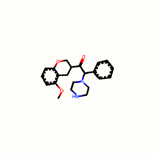 COc1cccc2c1CC(C(=O)C(c1ccccc1)N1CCNCC1)CO2